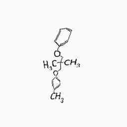 Cc1ccc(OCC(C)(C)COc2ccccc2)cc1